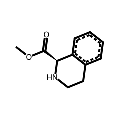 COC(=O)[C@@H]1NCCc2ccccc21